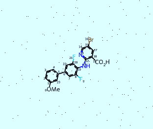 COc1cccc(-c2cc(F)c(Nc3ncc(Br)cc3C(=O)O)c(F)c2)c1